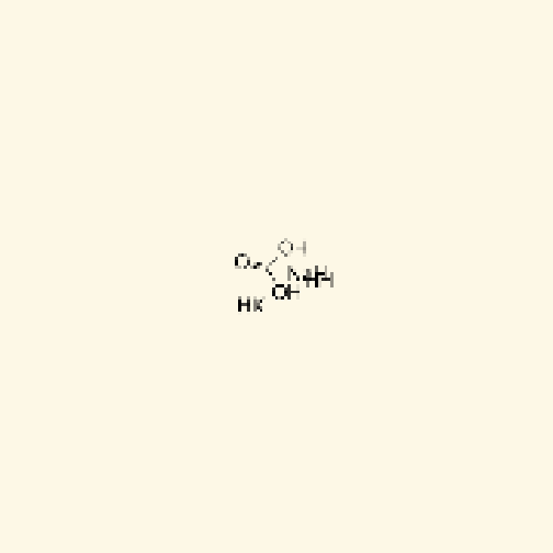 O=C(O)O.[HH].[KH].[NaH]